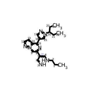 CCCN/C=C(\C=N)c1cn2nccc2c(-c2cnn(C(CC)CC)c2)n1